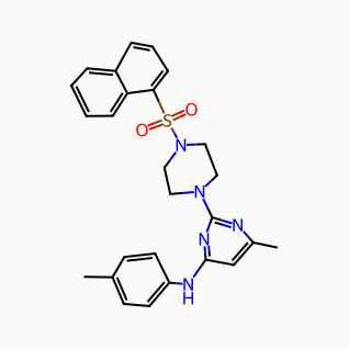 Cc1ccc(Nc2cc(C)nc(N3CCN(S(=O)(=O)c4cccc5ccccc45)CC3)n2)cc1